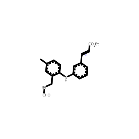 CCOC(=O)/C=C/c1cccc(Nc2ccc(C)cc2CNC=O)c1